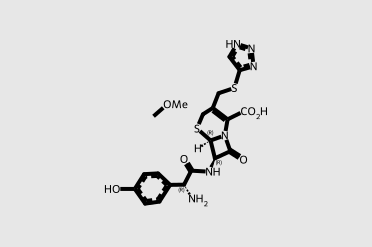 COC.N[C@@H](C(=O)N[C@@H]1C(=O)N2C(C(=O)O)=C(CSc3c[nH]nn3)CS[C@H]12)c1ccc(O)cc1